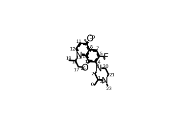 CC1CN(c2c(F)cc3c(=O)ccn4c3c2OCC4C)CCN1C